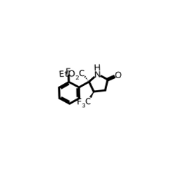 CCOC(=O)[C@]1(c2ccccc2F)NC(=O)C[C@H]1C(F)(F)F